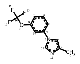 Cc1cn(-c2cccc(OC(F)(F)F)c2)cn1